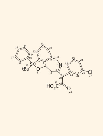 CCn1c(CCO[Si](c2ccccc2)(c2ccccc2)C(C)(C)C)c(C(=O)C(=O)O)c2cc(Cl)ccc21